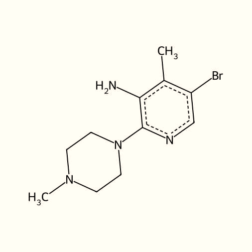 Cc1c(Br)cnc(N2CCN(C)CC2)c1N